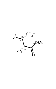 CCC[C@@H](C(=O)OC)[C@H](Br)C(=O)O